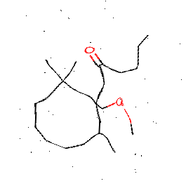 CCC(=O)C1(OC)C(C)CCCC1(C)C